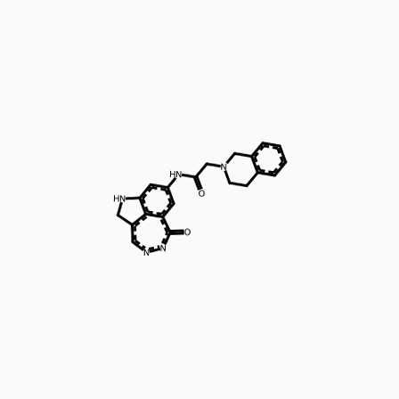 O=C(CN1CCc2ccccc2C1)Nc1cc2c3c(cnnc(=O)c3c1)CN2